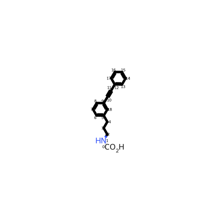 O=C(O)NCCCc1cccc(C#Cc2ccccc2)c1